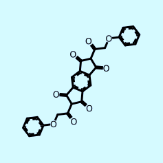 O=C(COc1ccccc1)C1C(=O)c2cc3c(cc2C1=O)C(=O)C(C(=O)COc1ccccc1)C3=O